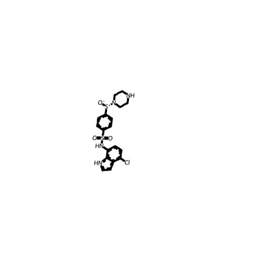 O=S(=O)(Nc1ccc(Cl)c2cc[nH]c12)c1ccc([S+]([O-])N2CCNCC2)cc1